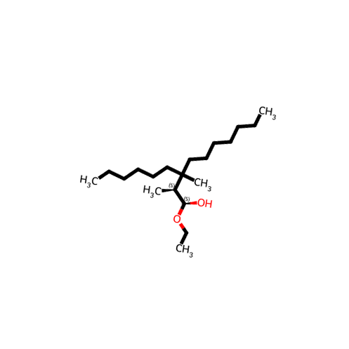 CCCCCCCC(C)(CCCCCC)[C@H](C)[C@@H](O)OCC